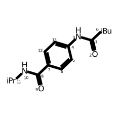 CCC(C)C(=O)Nc1ccc(C(=O)NC(C)C)cc1